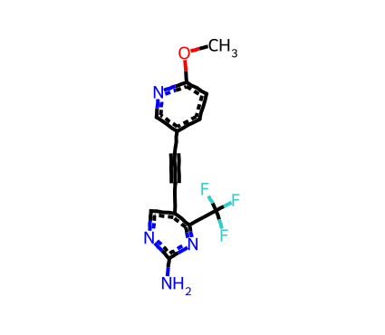 COc1ccc(C#Cc2cnc(N)nc2C(F)(F)F)cn1